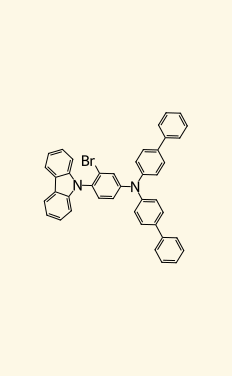 Brc1cc(N(c2ccc(-c3ccccc3)cc2)c2ccc(-c3ccccc3)cc2)ccc1-n1c2ccccc2c2ccccc21